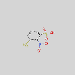 O=[N+]([O-])c1c(S)cccc1S(=O)(=O)O